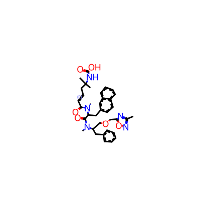 Cc1noc(COCC(Cc2ccccc2)N(C)C(=O)C(Cc2ccc3ccccc3c2)N(C)C(=O)/C=C/CC(C)(C)NC(=O)O)n1